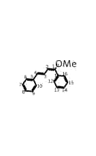 COC(=CC=Cc1ccccc1)c1ccccc1